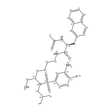 CC(=O)N[C@@H](Cc1ccc2ccccc2c1)C(=O)NCCCCC(CO)N(CC(C)C)S(=O)(=O)c1ccc(F)c(N)c1